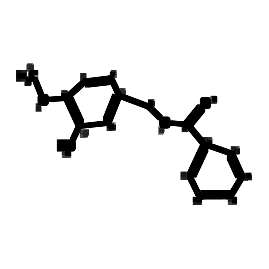 COc1ccc(COC(=O)c2ccccc2)cc1O